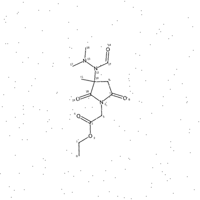 CCOC(=O)CN1C(=O)CC(C)(N(C=O)N(C)C)C1=O